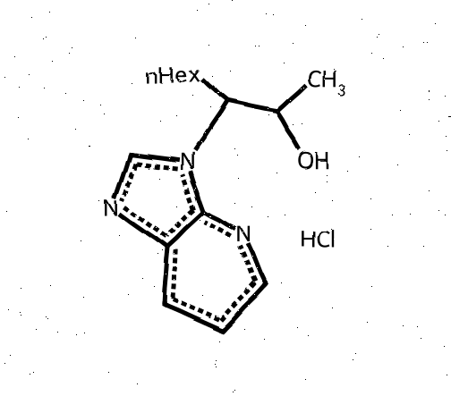 CCCCCCC(C(C)O)n1cnc2cccnc21.Cl